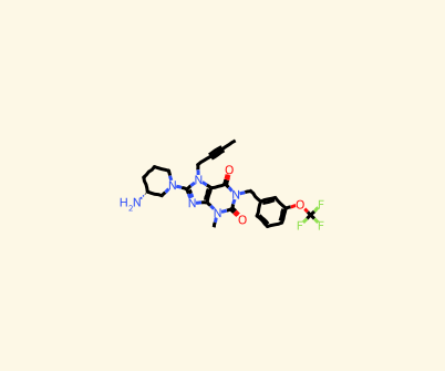 CC#CCn1c(N2CCC[C@@H](N)C2)nc2c1c(=O)n(Cc1cccc(OC(F)(F)F)c1)c(=O)n2C